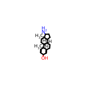 C[C@]12C=CC(O)C=C1CC[C@@H]1[C@H]2CC[C@]2(C)C(N)CC[C@@H]12